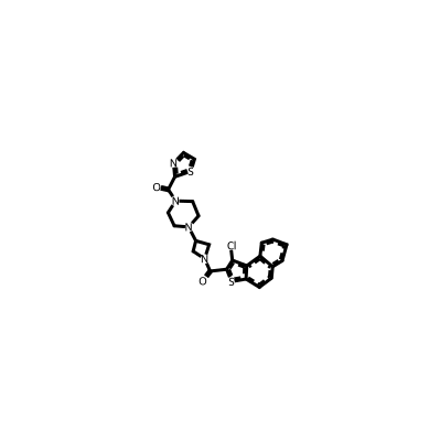 O=C(c1nccs1)N1CCN(C2CN(C(=O)c3sc4ccc5ccccc5c4c3Cl)C2)CC1